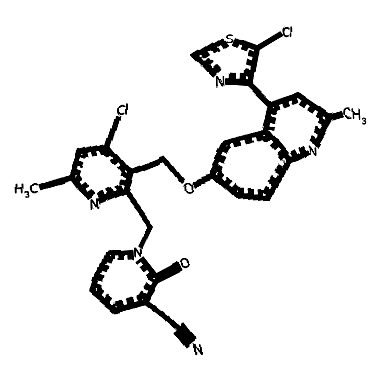 Cc1cc(Cl)c(COc2ccc3nc(C)cc(-c4ncsc4Cl)c3c2)c(Cn2cccc(C#N)c2=O)n1